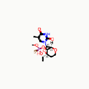 CC[C@@]12CCO[C@@H](C1OP(O)(=S)OC)[C@H](n1cc(C)c(=O)[nH]c1=O)O2